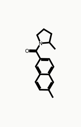 Cc1ccc2cc(C(=O)N3CCCC3C)ccc2c1